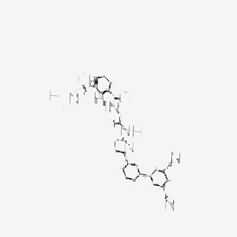 CC(C)(CN)c1cccc(C(=O)NCC(=O)NC2=NC(c3cccc(-c4cc(C#N)cc(C#N)c4)c3)=CC2)c1